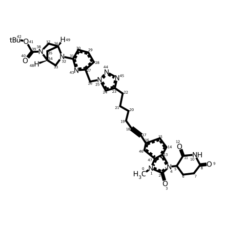 Cn1c(=O)n(C2CCC(=O)NC2=O)c2ccc(C#CCCCCc3cn(Cc4cccc(N5C[C@H]6C[C@@H]5CN6C(=O)OC(C)(C)C)n4)nn3)cc21